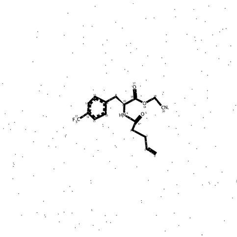 C=CCCC(=O)N[C@@H](Cc1ccc(C(F)(F)F)cc1)C(=O)OCC#N